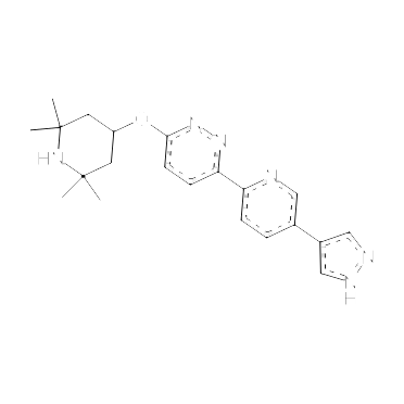 CC1(C)CC(Oc2ccc(-c3ccc(-c4cn[nH]c4)cn3)nn2)CC(C)(C)N1